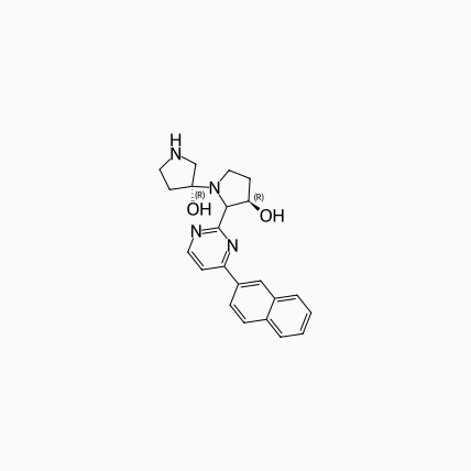 O[C@@H]1CCN([C@@]2(O)CCNC2)C1c1nccc(-c2ccc3ccccc3c2)n1